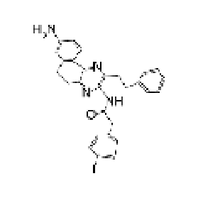 Nc1ccc2c(c1)CCc1nc(NC(=O)Cc3ccc(I)cc3)c(CCc3ccccc3)nc1-2